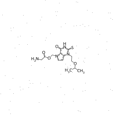 CC(C)OCCn1c(=S)[nH]c(=O)c2c1ccn2COC(=O)CN